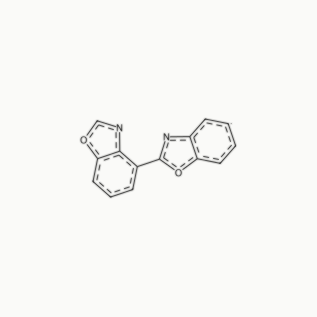 [c]1ccc2oc(-c3cccc4ocnc34)nc2c1